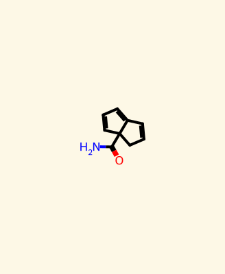 NC(=O)C12C=CC=C1C=CC2